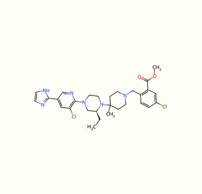 CC[C@H]1CN(c2ncc(-c3ncc[nH]3)cc2Cl)CCN1C1(C)CCN(Cc2ccc(Cl)cc2C(=O)OC)CC1